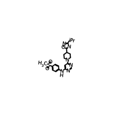 CC(C)c1noc(C2CCN(c3cc(Nc4ccc(S(C)(=O)=O)cc4)ncn3)CC2)n1